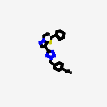 CC(C)Cn1ncc(-c2nnn(Cc3ccc([N+](=O)[O-])cc3)n2)c1SCc1ccccc1